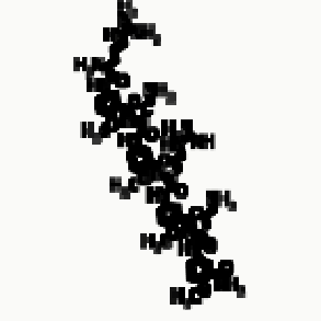 COc1ccc(NC(=O)[C@@H](CCCN)NC(=O)c2cc(NC(=O)[C@@H](CCCNC(=N)N)NC(=O)c3cc(NC(=O)[C@@H](CCCN)NC(=O)c4cc(NC(=O)[C@H](N)CCCNC(N)N)ccc4OC)ccc3OC)ccc2OC)cc1C(N)=O